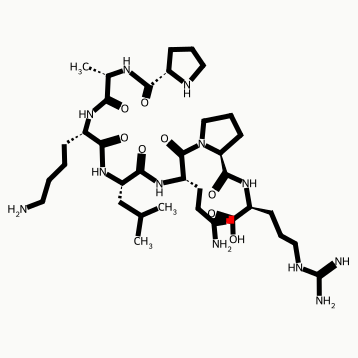 CC(C)C[C@H](NC(=O)[C@H](CCCCN)NC(=O)[C@H](C)NC(=O)[C@@H]1CCCN1)C(=O)N[C@@H](CCC(N)=O)C(=O)N1CCC[C@H]1C(=O)N[C@@H](CCCNC(=N)N)C(=O)O